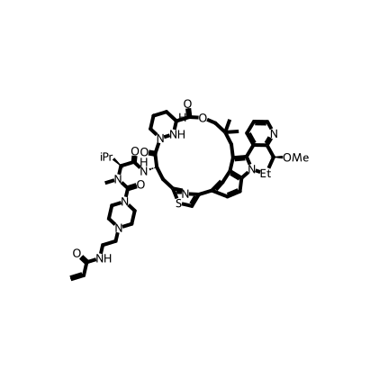 C=CC(=O)NCCN1CCN(C(=O)N(C)[C@H](C(=O)N[C@H]2Cc3nc(cs3)-c3ccc4c(c3)c(c(-c3cccnc3[C@H](C)OC)n4CC)CC(C)(C)COC(=O)[C@@H]3CCCN(N3)C2=O)C(C)C)CC1